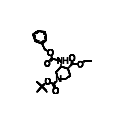 CCOC(=O)[C@H]1CCN(C(=O)OC(C)(C)C)C[C@@H]1NC(=O)OCc1ccccc1